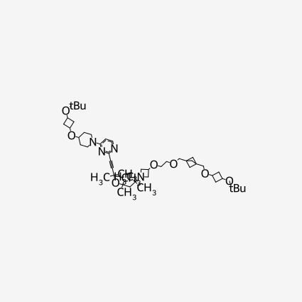 CC(C)(C)OC1CC(OCC23CC(COCCOC4CN(C(C)(C)CC(C)(C)OC(C)(C)C#Cc5nccc(N6CCC(OC7CC(OC(C)(C)C)C7)CC6)n5)C4)(C2)C3)C1